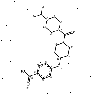 CC(C)N1CCN(C(=O)C2CCC(Oc3ccc(C(=O)O)cc3)CC2)CC1